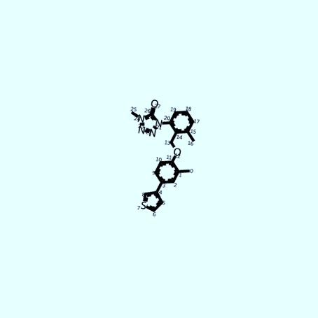 Cc1cc(-c2ccsc2)ccc1OCc1c(C)cccc1-n1nnn(C)c1=O